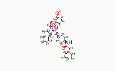 COc1cccc(S(=O)(=O)N(C)CC2(CCN3CCC(NC(=O)Cc4ccccc4)CC3)CCc3ccccc32)c1